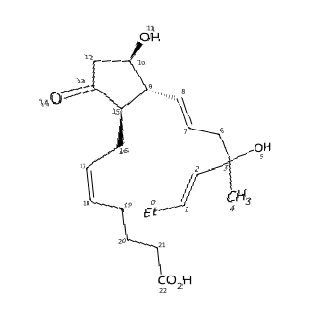 CC/C=C/C(C)(O)C/C=C/[C@H]1[C@H](O)CC(=O)[C@@H]1C/C=C\CCCC(=O)O